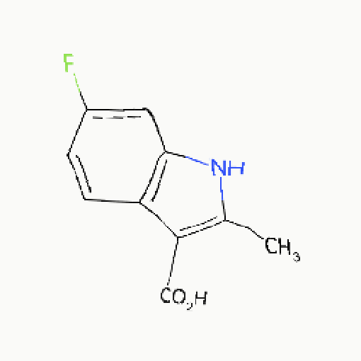 Cc1[nH]c2cc(F)ccc2c1C(=O)O